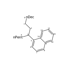 CCCCCCCCCCCCC(CCCCC)c1cccc2ccccc12